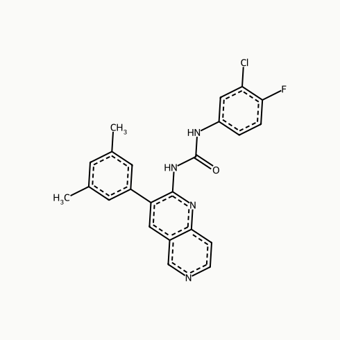 Cc1cc(C)cc(-c2cc3cnccc3nc2NC(=O)Nc2ccc(F)c(Cl)c2)c1